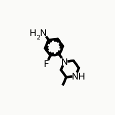 CC1CN(c2ccc(N)cc2F)CCN1